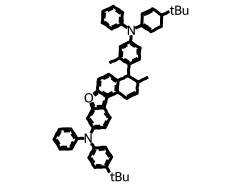 Cc1cc(N(C2=CCC(C(C)(C)C)C=C2)c2ccccc2)ccc1C1c2ccc3oc4cc(N(c5ccccc5)c5ccc(C(C)(C)C)cc5)ccc4c3c2C=CC1C